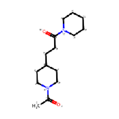 CC(=O)N1CCC(CCC(=O)N2CCCCC2)CC1